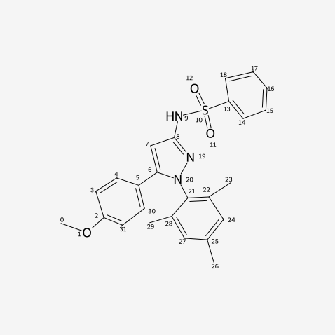 COc1ccc(-c2cc(NS(=O)(=O)c3ccccc3)nn2-c2c(C)cc(C)cc2C)cc1